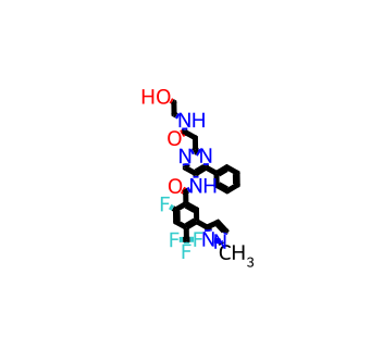 Cn1ccc(-c2cc(C(=O)Nc3cnc(CC(=O)NCCO)nc3-c3ccccc3)c(F)cc2C(F)(F)F)n1